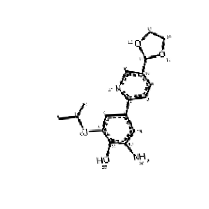 CC(C)Oc1cc(-c2ccc(C3OCCO3)cn2)cc(N)c1O